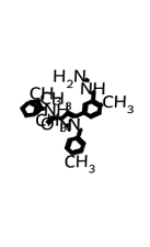 Cc1ccc(Cn2nc(C(=O)NC3C4(C)CCC(C4)C3(C)C)cc2-c2ccc(C)c(CNCN)c2)cc1